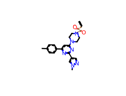 C=CS(=O)(=O)N1CCN(c2cc(-c3ccc(C)cc3)nc(-c3cnn(C)c3)n2)CC1